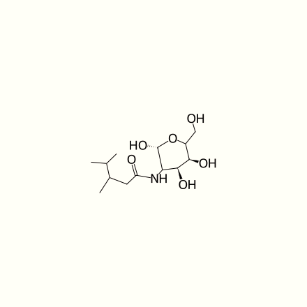 CC(C)C(C)CC(=O)NC1[C@H](O)OC(CO)[C@@H](O)[C@H]1O